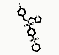 O=S(=O)(c1ccc(S(=O)(=O)N(Cc2ccc(F)cc2)CC2CCCO2)cc1)N1CCCCC1